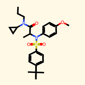 CCCN(C(=O)C(C)N(c1ccc(OC)cc1)S(=O)(=O)c1ccc(C(C)(C)C)cc1)C1CC1